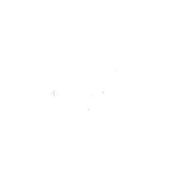 CC(C)(C)c1cccc2c1C(=O)OC2=O